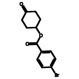 O=C1CCC(OC(=O)c2ccc(Br)cc2)CC1